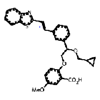 COc1ccc(OCC(OCC2CC2)c2cccc(/C=C/c3nc4ccccc4s3)c2)c(C(=O)O)c1